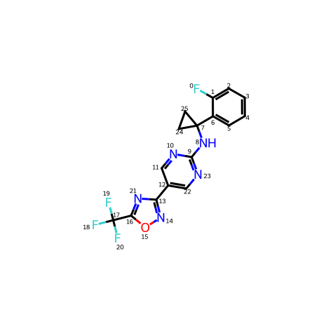 Fc1ccccc1C1(Nc2ncc(-c3noc(C(F)(F)F)n3)cn2)CC1